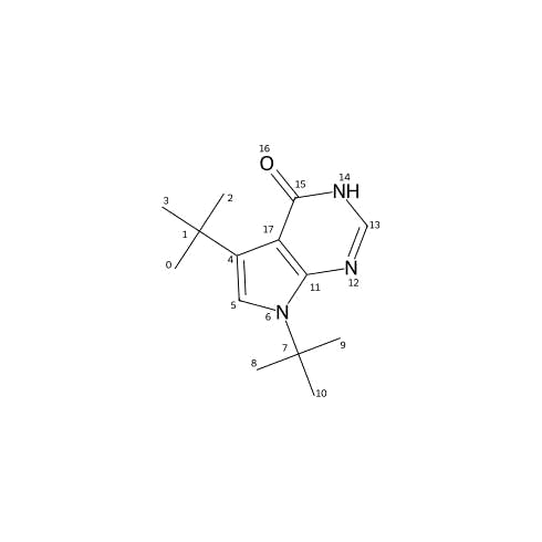 CC(C)(C)c1cn(C(C)(C)C)c2nc[nH]c(=O)c12